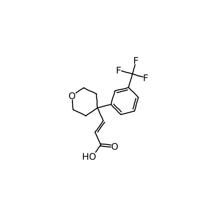 O=C(O)C=CC1(c2cccc(C(F)(F)F)c2)CCOCC1